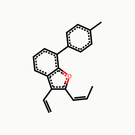 C=Cc1c(/C=C\C)oc2c(-c3ccc(C)cc3)cccc12